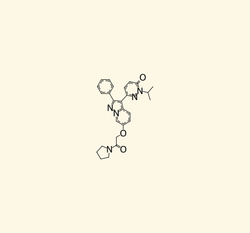 CC(C)n1nc(-c2c(-c3ccccc3)nn3cc(OCC(=O)N4CCCC4)ccc23)ccc1=O